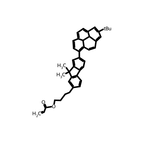 C=CC(=O)OCCCCc1ccc2c(c1)C(C)(C)c1cc(C3=C4C=CC5=CC(C(C)(C)C)=CC6=CC=C(C=C3)C4C65)ccc1-2